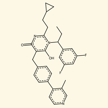 CCC(c1cc(F)cc(F)c1)n1c(CCC2CC2)nc(=O)c(Cc2ccc(-c3ccncc3C)cc2)c1O